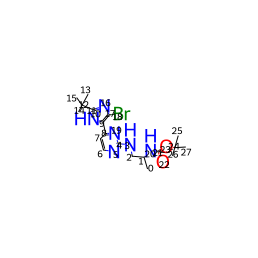 CC(CNc1nccc(-c2[nH]c(C(C)(C)C)nc2Br)n1)NC(=O)OC(C)(C)C